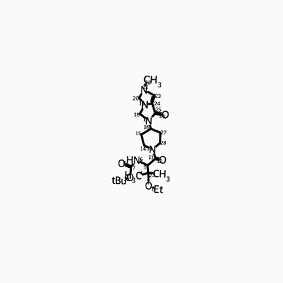 CCOC(C)(C)C(NC(=O)OC(C)(C)C)C(=O)N1CCC(N2CN3CN(C)C=C3C2=O)CC1